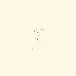 CC(C)c1cc(F)cc(C(C)C)c1CC(=O)NS(=O)(=O)c1ccc(C(C)(C)O)c(F)c1